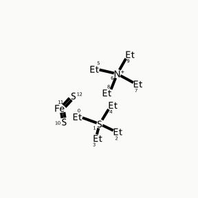 CCS(CC)(CC)CC.CC[N+](CC)(CC)CC.[S]=[Fe]=[S]